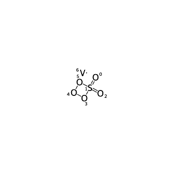 O=S1(=O)OOO1.[V]